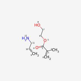 C=C(C)C(=O)OCCO.C=CCN